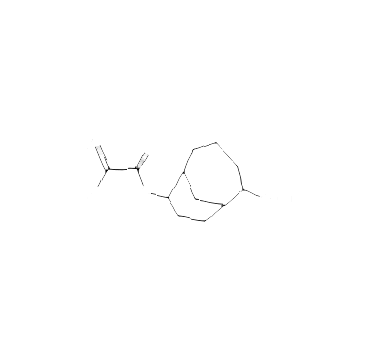 C=C(C)C(=O)OC1CCC2CC1CCCC2C(=O)O